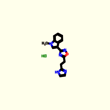 Cl.Cn1cc(-c2noc(CCc3ncc[nH]3)n2)c2ccccc21